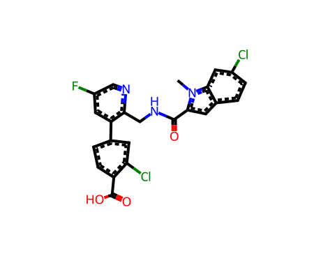 Cn1c(C(=O)NCc2ncc(F)cc2-c2ccc(C(=O)O)c(Cl)c2)cc2ccc(Cl)cc21